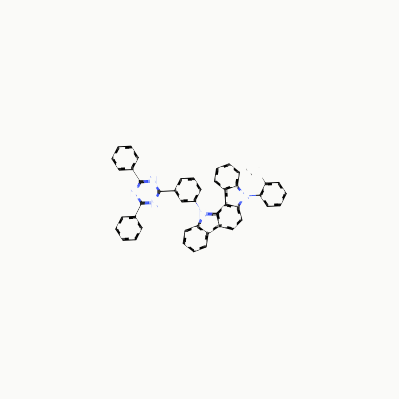 N#Cc1ccccc1-n1c2ccccc2c2c1ccc1c3ccccc3n(-c3cccc(-c4nc(-c5ccccc5)nc(-c5ccccc5)n4)c3)c12